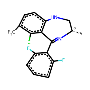 C[C@H]1CNc2ccc(C(F)(F)F)c(Cl)c2C(c2c(F)cccc2F)=N1